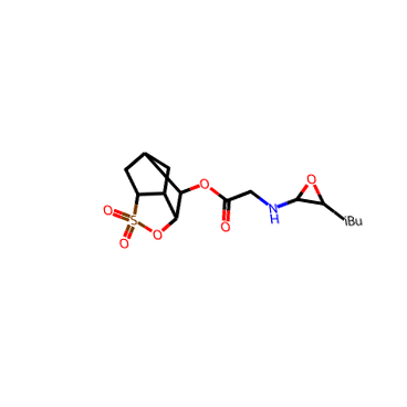 CCC(C)C1OC1NCC(=O)OC1C2CC3C1OS(=O)(=O)C3C2